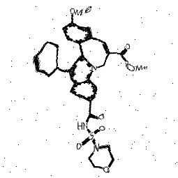 COC(=O)C1=Cc2cc(OC)ccc2-c2c(C3CCCCC3)c3ccc(C(=O)NS(=O)(=O)N4CCOCC4)cc3n2C1